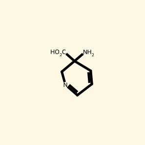 NC1(C(=O)O)C=CC=NC1